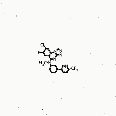 CN(c1cccc(-c2ccc(C(F)(F)F)nc2)c1)c1nc2nncn2c2cc(Cl)c(F)cc12